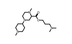 CN(C)CCCOC(=O)C1CN(C2CCN(C)CC2)CCN1C